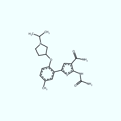 Cc1ccc(OC2CCN(C(C)C)C2)c(-c2cc(C(N)=O)c(NC(N)=O)s2)c1